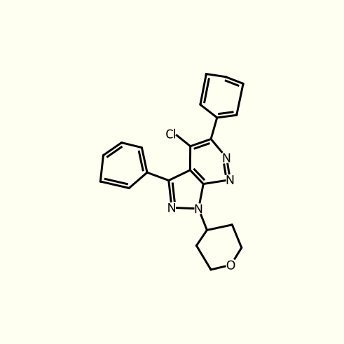 Clc1c(-c2ccccc2)nnc2c1c(-c1ccccc1)nn2C1CCOCC1